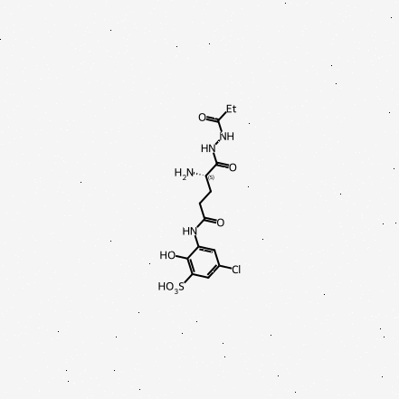 CCC(=O)NNC(=O)[C@@H](N)CCC(=O)Nc1cc(Cl)cc(S(=O)(=O)O)c1O